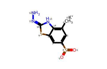 Cc1cc([S-](=O)=O)cc2sc(=NN)[nH]c12.[K+]